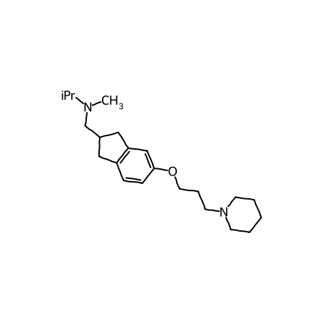 CC(C)N(C)CC1Cc2ccc(OCCCN3CCCCC3)cc2C1